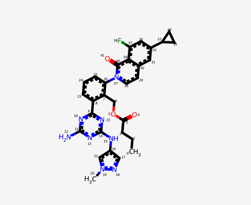 CCCC(=O)OCc1c(-c2nc(N)nc(Nc3cnn(C)c3)n2)cccc1-n1ccc2cc(C3CC3)cc(F)c2c1=O